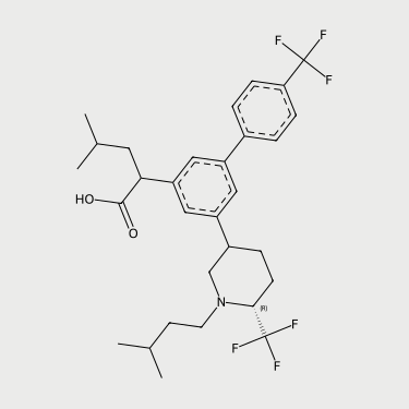 CC(C)CCN1CC(c2cc(-c3ccc(C(F)(F)F)cc3)cc(C(CC(C)C)C(=O)O)c2)CC[C@@H]1C(F)(F)F